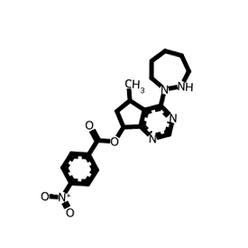 CC1CC(OC(=O)c2ccc([N+](=O)[O-])cc2)c2ncnc(N3CCCCCN3)c21